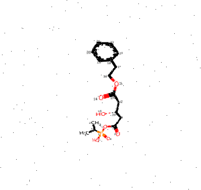 CC(C)P(=O)(O)OC(=O)C[C@H](O)CC(=O)OCCc1ccccc1